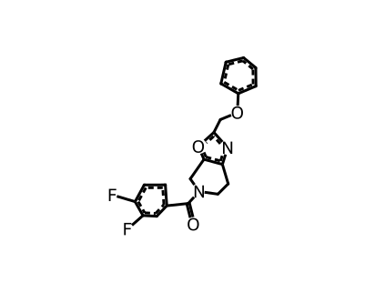 O=C(c1ccc(F)c(F)c1)N1CCc2nc(COc3ccccc3)oc2C1